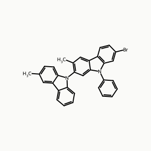 Cc1ccc2c(c1)c1ccccc1n2-c1cc2c(cc1C)c1ccc(Br)cc1n2-c1ccccc1